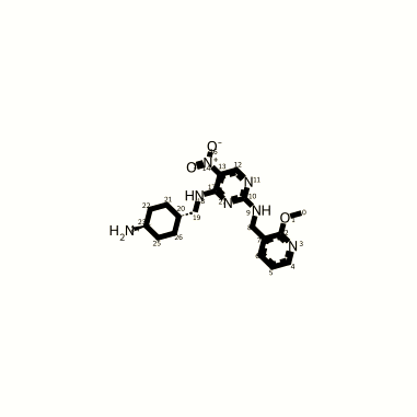 COc1ncccc1CNc1ncc([N+](=O)[O-])c(NC[C@H]2CC[C@H](N)CC2)n1